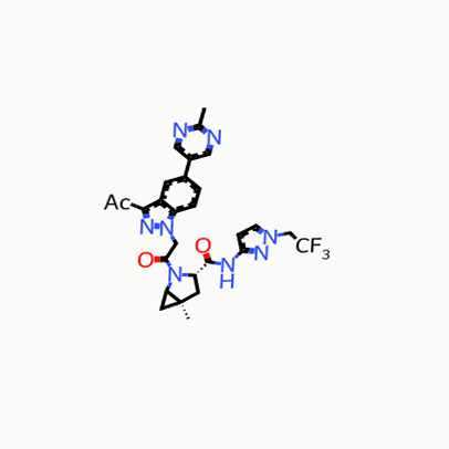 CC(=O)c1nn(CC(=O)N2C3C[C@]3(C)C[C@H]2C(=O)Nc2ccn(CC(F)(F)F)n2)c2ccc(-c3cnc(C)nc3)cc12